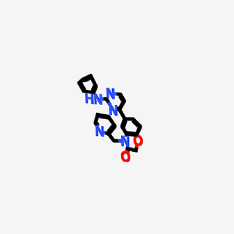 O=C1COc2ccc(-c3ccnc(Nc4ccccc4)n3)cc2N1Cc1ccccn1